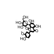 COc1cc(-c2cc(=O)c3c(O)cc(O)c([C@@H]4O[C@H](CO)[C@@H](O)[C@H](O)[C@H]4O)c3o2)ccc1O